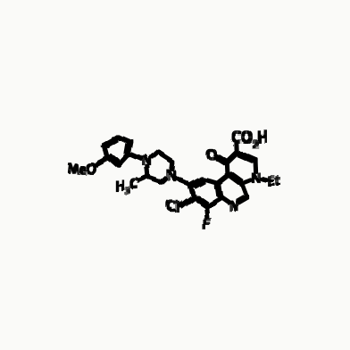 CCn1cc(C(=O)O)c(=O)c2c3cc(N4CCN(c5cccc(OC)c5)C(C)C4)c(Cl)c(F)c3ncc21